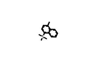 Cc1ccc(S(C)(C)C)c2ccccc12